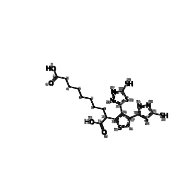 O=C(O)CCCCCCCC(C(=O)O)c1scc(-c2nnc(S)s2)c1-c1nnc(S)s1